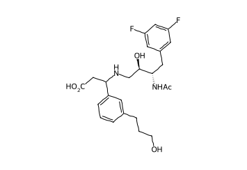 CC(=O)N[C@@H](Cc1cc(F)cc(F)c1)[C@H](O)CNC(CC(=O)O)c1cccc(CCCO)c1